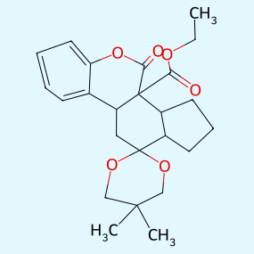 CCOC(=O)C12C(=O)Oc3ccccc3C1CC1(OCC(C)(C)CO1)C1CCCC12